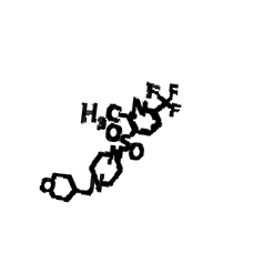 Cc1nc(C(F)(F)F)ccc1S(=O)(=O)N1CCN(CC2CCOCC2)CC1